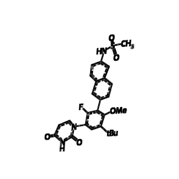 COc1c(C(C)(C)C)cc(-n2ccc(=O)[nH]c2=O)c(F)c1-c1ccc2cc(NS(C)(=O)=O)ccc2c1